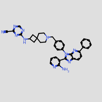 N#Cc1ncnc(NC2CC3(CCN(Cc4ccc(-n5c(-c6cccnc6N)nc6ccc(-c7ccccc7)nc65)cc4)CC3)C2)n1